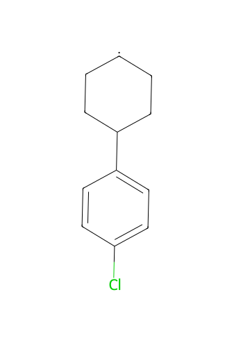 Clc1ccc(C2CC[CH]CC2)cc1